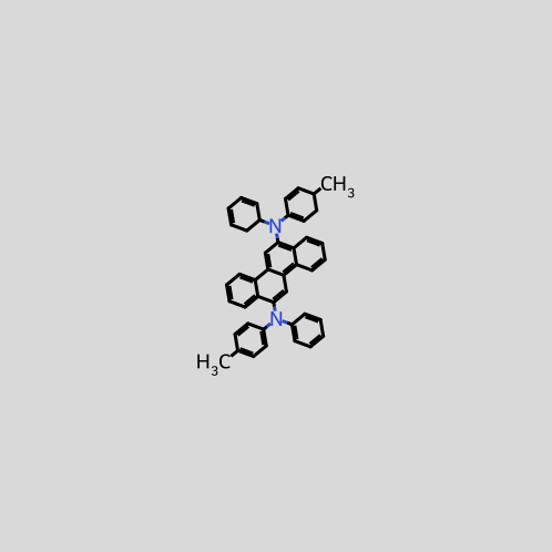 Cc1ccc(N(c2ccccc2)c2cc3c4ccccc4c(N(C4=CCC(C)C=C4)C4C=CC=CC4)cc3c3ccccc23)cc1